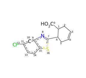 O=C(O)C1CC=CCC1c1nc2cc(Cl)ccc2s1